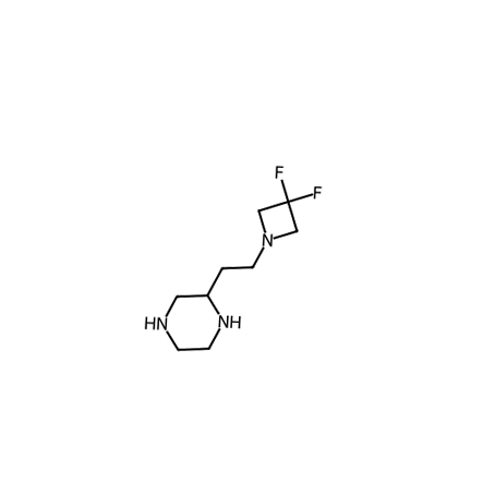 FC1(F)CN(CCC2CNCCN2)C1